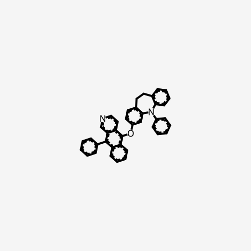 c1ccc(-c2c3ccccc3c(Oc3ccc4c(c3)N(c3ccccc3)c3ccccc3CC4)c3ccncc23)cc1